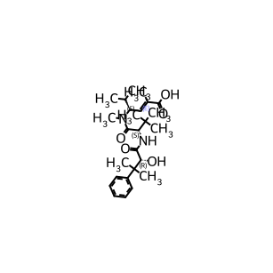 C/C(=C\[C@H](C(C)C)N(C)C(=O)[C@@H](NC(=O)[C@H](O)C(C)(C)c1ccccc1)C(C)(C)C)C(=O)O